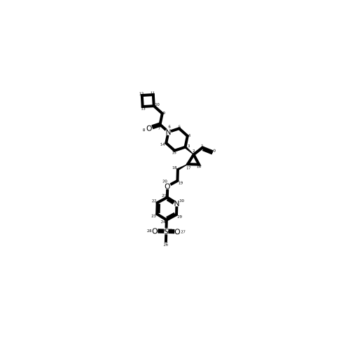 C=C[C@]1(C2CCN(C(=O)CC3CCC3)CC2)C[C@H]1CCOc1ccc(S(C)(=O)=O)cn1